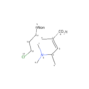 CC(=CC(C)N(C)C)C(=O)O.CCCCCCCCCCCCCl